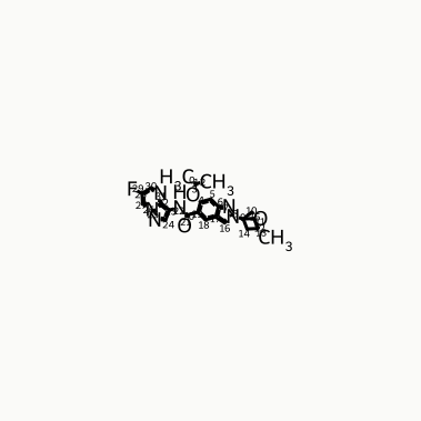 CC(C)Oc1cc2nn(C34COC(C)(C3)C4)cc2cc1C(=O)Nc1cnn2cc(F)cnc12